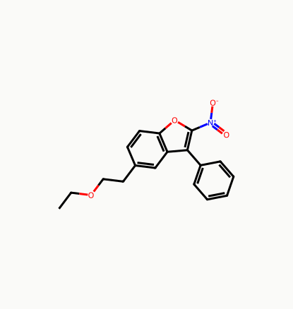 CCOCCc1ccc2oc([N+](=O)[O-])c(-c3ccccc3)c2c1